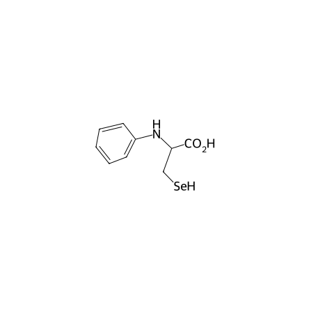 O=C(O)C(C[SeH])Nc1ccccc1